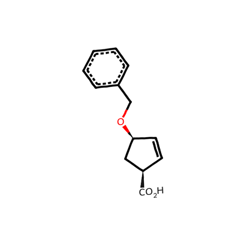 O=C(O)[C@@H]1C=C[C@H](OCc2ccccc2)C1